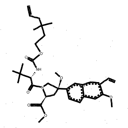 C=CCC(C)(C)CCOC(=O)N[C@H](C(=O)N1C[C@](OC)(c2ccc3cc(OC)c(C=C)cc3c2)C[C@H]1C(=O)OC)C(C)(C)C